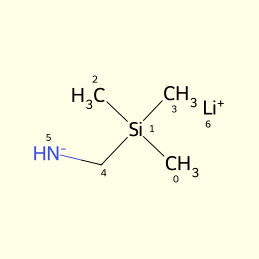 C[Si](C)(C)C[NH-].[Li+]